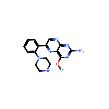 CCOc1nc(N)nc2ncc(-c3ccccc3N3CCNCC3)nc12